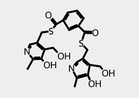 Cc1ncc(CSC(=O)c2cccc(C(=O)SCc3cnc(C)c(O)c3CO)c2)c(CO)c1O